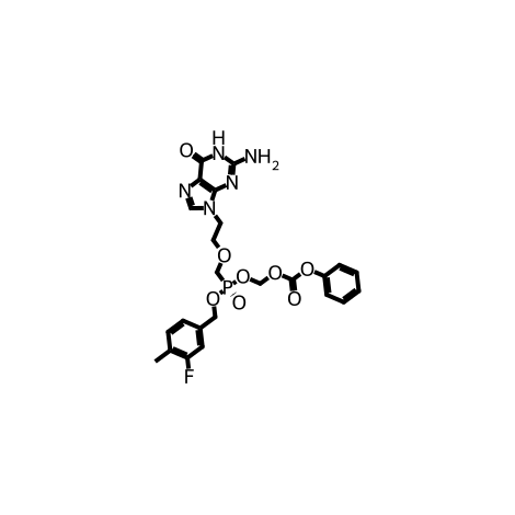 Cc1ccc(COP(=O)(COCCn2cnc3c(=O)[nH]c(N)nc32)OCOC(=O)Oc2ccccc2)cc1F